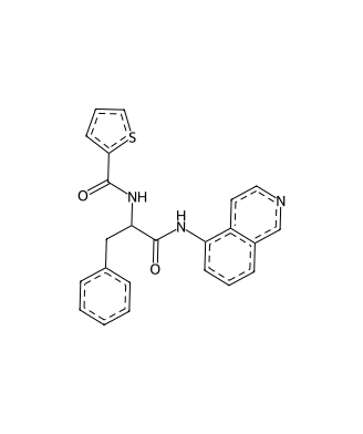 O=C(NC(Cc1ccccc1)C(=O)Nc1cccc2cnccc12)c1cccs1